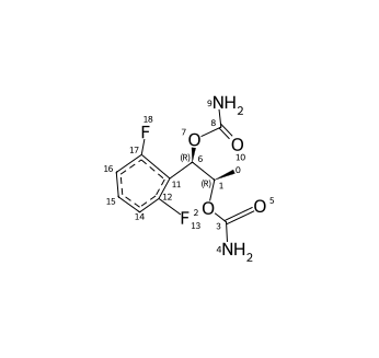 C[C@@H](OC(N)=O)[C@H](OC(N)=O)c1c(F)cccc1F